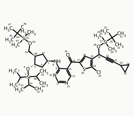 CC(C)[Si](O[C@H]1C[C@H](Nc2ncncc2C(=O)c2cc(C(C#CC3CC3)O[Si](C)(C)C(C)(C)C)c(Cl)s2)C[C@@H]1CO[Si](C)(C)C(C)(C)C)(C(C)C)C(C)C